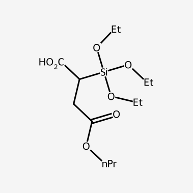 CCCOC(=O)CC(C(=O)O)[Si](OCC)(OCC)OCC